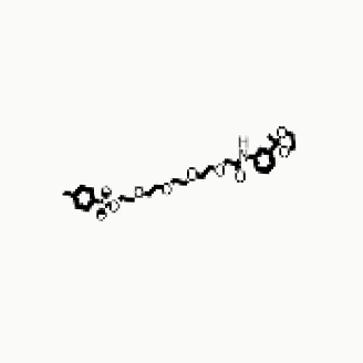 Cc1ccc(S(=O)(=O)OCCOCCOCCOCCOCC(=O)Nc2cccc(C3(C)OCCO3)c2)cc1